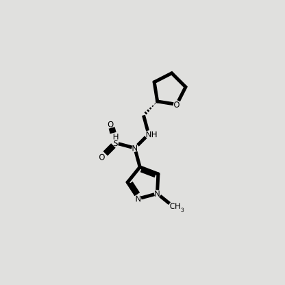 Cn1cc(N(NC[C@@H]2CCCO2)[SH](=O)=O)cn1